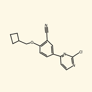 N#Cc1cc(-c2ccnc(Cl)n2)ccc1OCC1CCC1